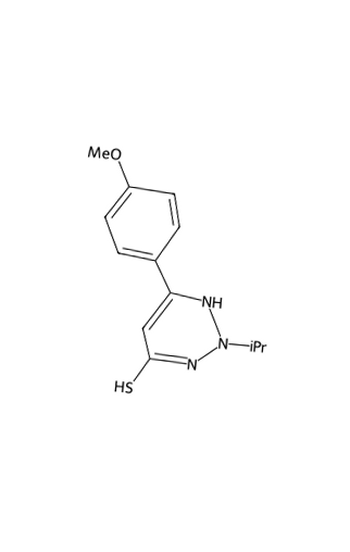 COc1ccc(C2=CC(S)=NN(C(C)C)N2)cc1